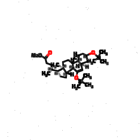 COC(=O)CC[C@@H](C)[C@H]1CC[C@H]2[C@@H]3C(O[Si](C)(C)C)=C[C@@H]4C[C@H](O[Si](C)(C)C)CC[C@]4(C)[C@H]3CC[C@]12C